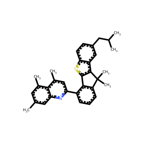 Cc1cc(C)c2c(C)cc(-c3cccc4c3-c3sc5ccc(CC(C)C)cc5c3C4(C)C)nc2c1